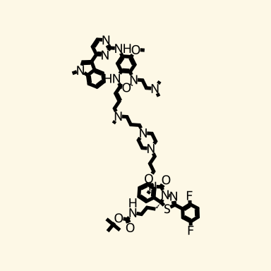 COc1cc(N(C)CCN(C)C)c(NC(=O)/C=C/CN(C)CCCN2CCN(CCCON(C)C(=O)N3N=C(c4cc(F)ccc4F)S[C@@]3(CCCNC(=O)OC(C)(C)C)c3ccccc3)CC2)cc1Nc1nccc(-c2cn(C)c3ccccc23)n1